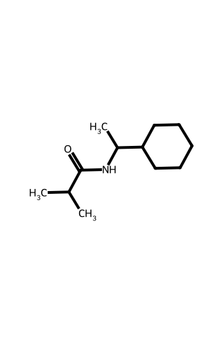 CC(C)C(=O)NC(C)C1CCCCC1